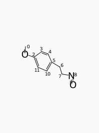 COc1ccc(CCN=O)cc1